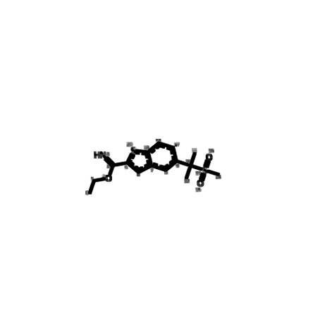 CCOC(=N)c1cc2cc(C(C)(C)S(C)(=O)=O)ccc2s1